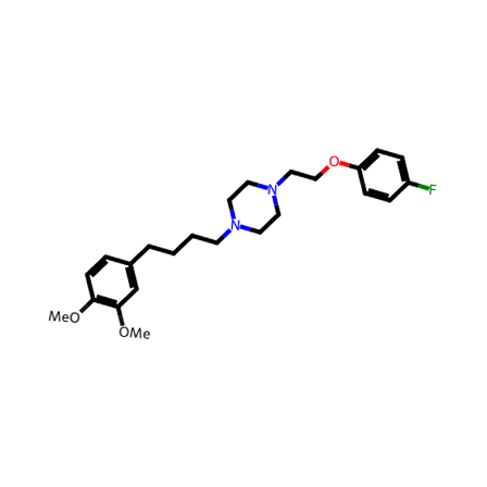 COc1ccc(CCCCN2CCN(CCOc3ccc(F)cc3)CC2)cc1OC